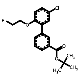 CC(C)(C)OC(=O)c1cccc(-c2cc(Cl)ccc2OCCBr)c1